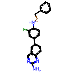 Nc1ncc2cc(-c3ccc(NSCc4ccccc4)c(F)c3)ccc2n1